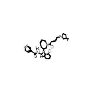 O=C(Nc1nc2cccc(Cl)c2n1C1CCCCN(C(=O)/C=C/CN2CCC(F)C2)C1)c1ccnnc1